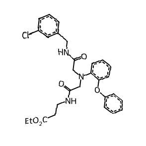 CCOC(=O)CCNC(=O)CN(CC(=O)NCc1cccc(Cl)c1)c1ccccc1Oc1ccccc1